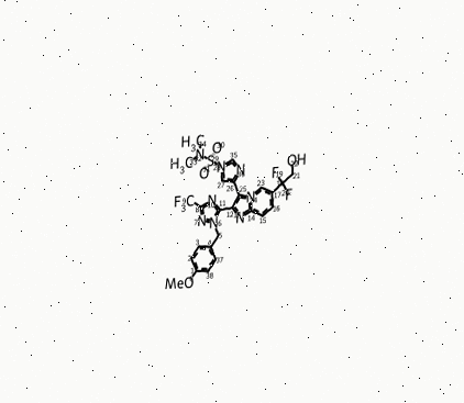 COc1ccc(Cn2nc(C(F)(F)F)nc2-c2nc3ccc(C(F)(F)CO)cn3c2-c2cn(S(=O)(=O)N(C)C)cn2)cc1